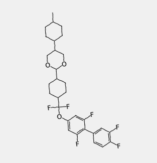 CC1CCC(C2COC(C3CCC(C(F)(F)Oc4cc(F)c(-c5ccc(F)c(F)c5)c(F)c4)CC3)OC2)CC1